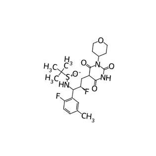 Cc1ccc(F)c(C(N[S@@+]([O-])C(C)(C)C)[C@H](F)CC2C(=O)NC(=O)N(C3CCOCC3)C2=O)c1